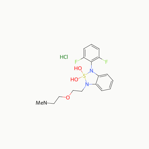 CNCCOCCN1c2ccccc2N(c2c(F)cccc2F)S1(O)O.Cl